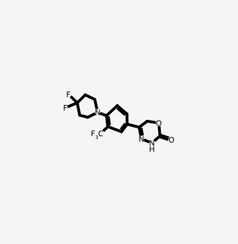 O=C1NN=C(c2ccc(N3CCC(F)(F)CC3)c(C(F)(F)F)c2)CO1